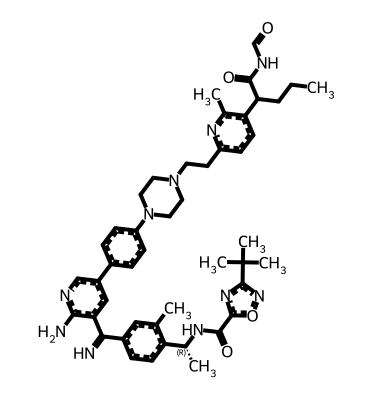 CCCC(C(=O)NC=O)c1ccc(CCN2CCN(c3ccc(-c4cnc(N)c(C(=N)c5ccc([C@@H](C)NC(=O)c6nc(C(C)(C)C)no6)c(C)c5)c4)cc3)CC2)nc1C